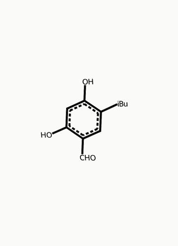 CCC(C)c1cc(C=O)c(O)cc1O